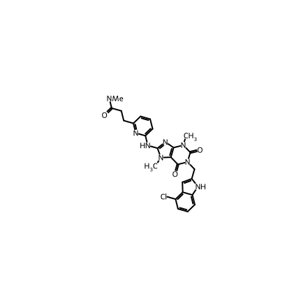 CNC(=O)CCc1cccc(Nc2nc3c(c(=O)n(Cc4cc5c(Cl)cccc5[nH]4)c(=O)n3C)n2C)n1